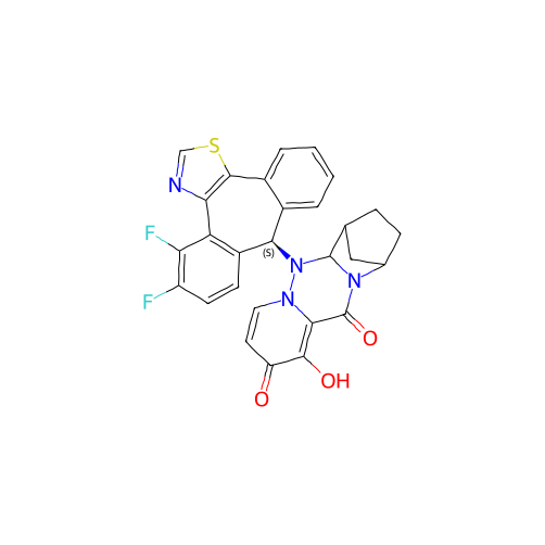 O=C1c2c(O)c(=O)ccn2N([C@@H]2c3ccccc3-c3scnc3-c3c2ccc(F)c3F)C2C3CCC(C3)N12